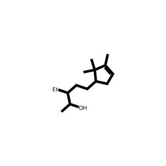 CCC(CCC1CC=C(C)C1(C)C)C(C)O